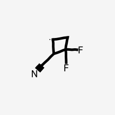 N#CC1[CH]CC1(F)F